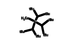 CC(C)(C)C(C(C)(C)C)[Si]([GaH2])(C(C(C)(C)C)C(C)(C)C)C(C(C)(C)C)C(C)(C)C